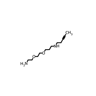 CC#CCCNCCCOCCOCCN